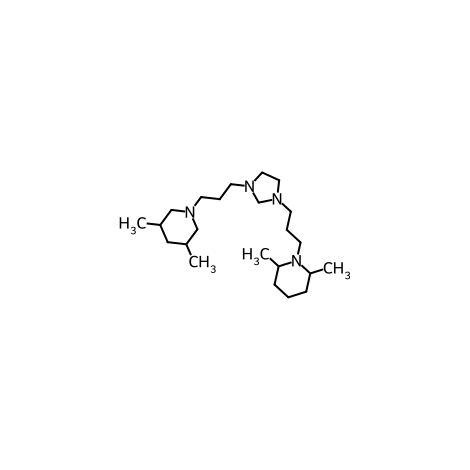 CC1CC(C)CN(CCCN2CCN(CCCN3C(C)CCCC3C)C2)C1